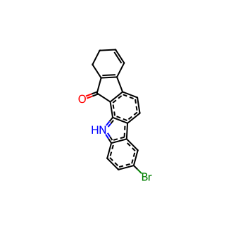 O=C1C2=C(C=CCC2)c2ccc3c([nH]c4ccc(Br)cc43)c21